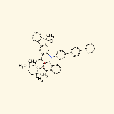 CC1(C)CCC(C)(C)c2cc(-c3cc4c(cc3N(c3ccc(-c5ccc(-c6ccccc6)cc5)cc3)c3cccc5ccccc35)C(C)(C)c3ccccc3-4)ccc21